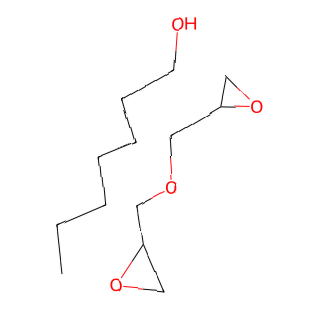 C(OCC1CO1)C1CO1.CCCCCCCO